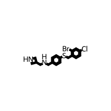 Clc1ccc(CSc2ccc(CNCC3CNC3)cc2)c(Br)c1